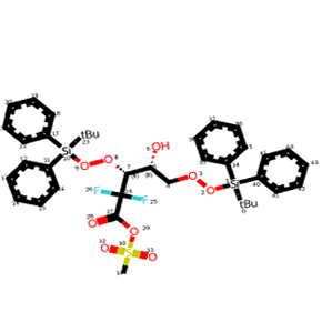 CC(C)(C)[Si](OOC[C@@H](O)[C@@H](OO[Si](c1ccccc1)(c1ccccc1)C(C)(C)C)C(F)(F)C(=O)OS(C)(=O)=O)(c1ccccc1)c1ccccc1